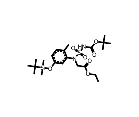 CCOC(=O)CN(c1cc(O[Si](C)(C)C(C)(C)C)ccc1C)S(=O)(=O)NC(=O)OC(C)(C)C